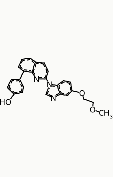 COCCOc1ccc2c(c1)ncn2-c1ccc2cccc(-c3ccc(O)cc3)c2n1